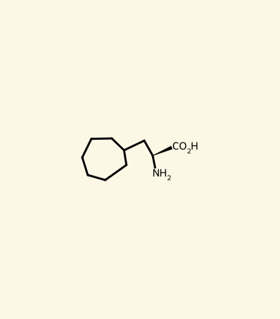 N[C@@H](CC1CCCCCC1)C(=O)O